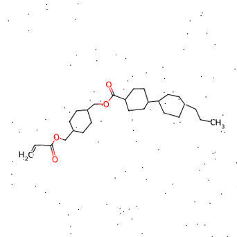 C=CC(=O)OCC1CCC(COC(=O)C2CCC(C3CCC(CCC)CC3)CC2)CC1